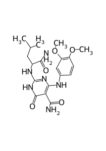 COc1ccc(Nc2nc(NC(CC(C)C)C(N)=O)[nH]c(=O)c2C(N)=O)cc1OC